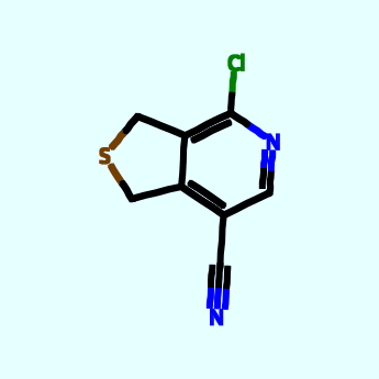 N#Cc1cnc(Cl)c2c1CSC2